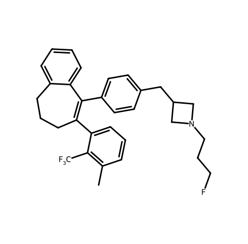 Cc1cccc(C2=C(c3ccc(CC4CN(CCCF)C4)cc3)c3ccccc3CCC2)c1C(F)(F)F